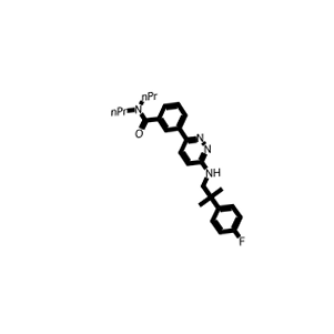 CCCN(CCC)C(=O)c1cccc(-c2ccc(NCC(C)(C)c3ccc(F)cc3)nn2)c1